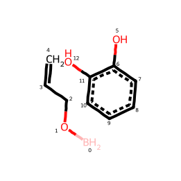 BOCC=C.Oc1ccccc1O